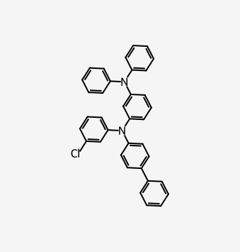 Clc1cccc(N(c2ccc(-c3ccccc3)cc2)c2cccc(N(c3ccccc3)c3ccccc3)c2)c1